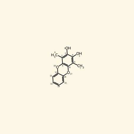 Cc1c(O)c(O)c(C)c2c1Oc1ccccc1O2